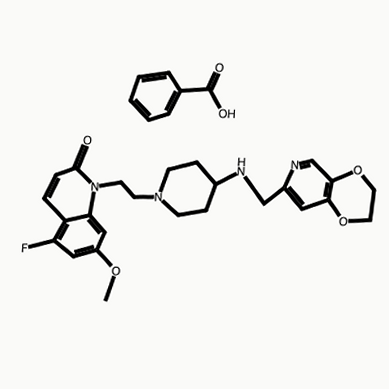 COc1cc(F)c2ccc(=O)n(CCN3CCC(NCc4cc5c(cn4)OCCO5)CC3)c2c1.O=C(O)c1ccccc1